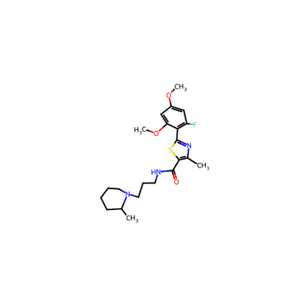 COc1cc(F)c(-c2nc(C)c(C(=O)NCCCN3CCCCC3C)s2)c(OC)c1